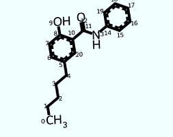 CCCCCc1ccc(O)c(C(=O)Nc2ccccc2)c1